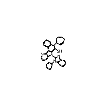 Sc1c(C2=CC=CCC#C2)c2ccccc2c2c3ncccc3n(-c3nc4ccccc4n3-c3ccccc3)c12